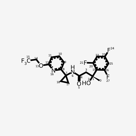 C[C@@](O)(CC(=O)NC1(c2cccc(OCC(F)(F)F)n2)CC1)c1c(F)cc(F)cc1F